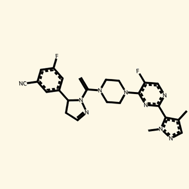 C=C(N1CCN(c2nc(-c3c(C)cnn3C)ncc2F)CC1)N1N=CCC1c1cc(F)cc(C#N)c1